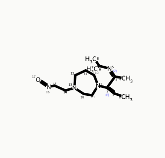 C/C=C(\C(C)=N/C(C)C)N1CCCN(CCN=O)CC1